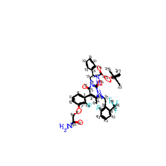 Cc1c(-c2cccc(OCC(N)=O)c2F)c(=O)n(C[C@H](NC(=O)OC(C)(C)C)c2ccccc2)c(=O)n1Cc1c(F)cccc1C(F)(F)F